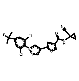 CC(C)(F)c1cc(Cl)c(-n2cc(-c3cc(C(=O)NC4(C#N)CC4)cs3)cn2)c(Cl)c1